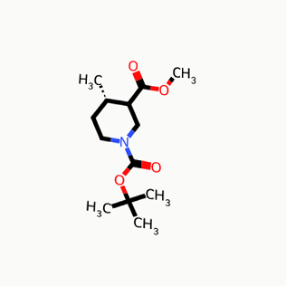 COC(=O)C1CN(C(=O)OC(C)(C)C)CC[C@@H]1C